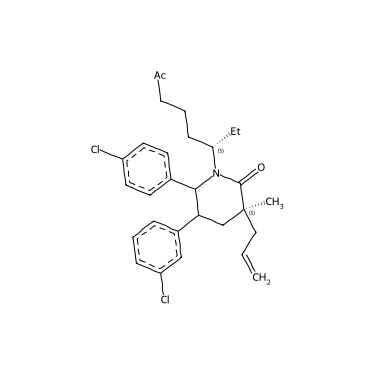 C=CC[C@@]1(C)CC(c2cccc(Cl)c2)C(c2ccc(Cl)cc2)N([C@@H](CC)CCCC(C)=O)C1=O